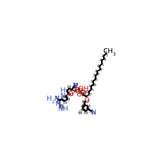 CCCCCCCCCCCCCCCCCC[C@H](COP(=O)(O)OC[C@]1(C#N)CC[C@H](c2ccc(/C(N)=N\C=N)[nH]2)O1)OCc1cc(F)cc(C#N)c1